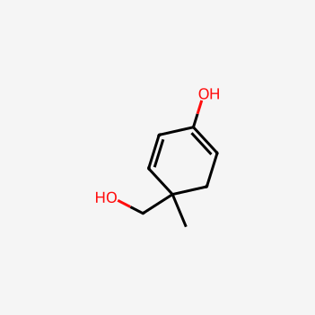 CC1(CO)C=CC(O)=CC1